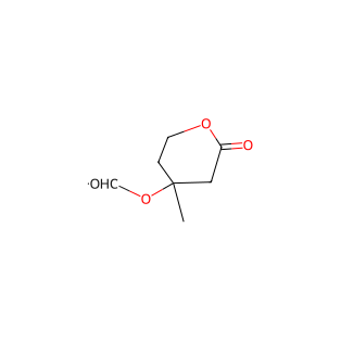 CC1(O[C]=O)CCOC(=O)C1